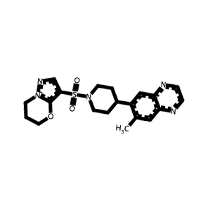 Cc1cc2nccnc2cc1C1CCN(S(=O)(=O)c2cnn3c2OCCC3)CC1